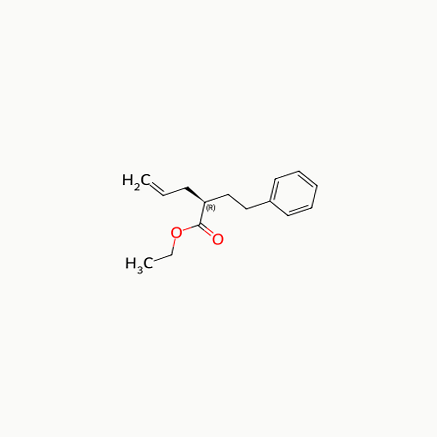 C=CC[C@@H](CCc1ccccc1)C(=O)OCC